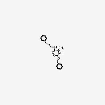 C[C@@H](NC(=O)OCc1ccccc1)C(=O)NCCCc1ccccc1